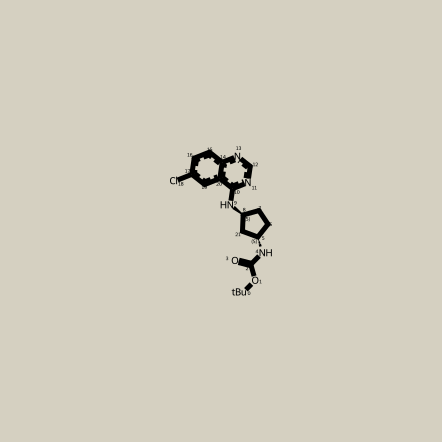 CC(C)(C)OC(=O)N[C@H]1CC[C@H](Nc2ncnc3ccc(Cl)cc23)C1